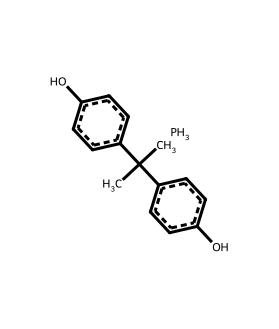 CC(C)(c1ccc(O)cc1)c1ccc(O)cc1.P